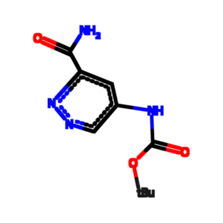 CC(C)(C)OC(=O)Nc1cnnc(C(N)=O)c1